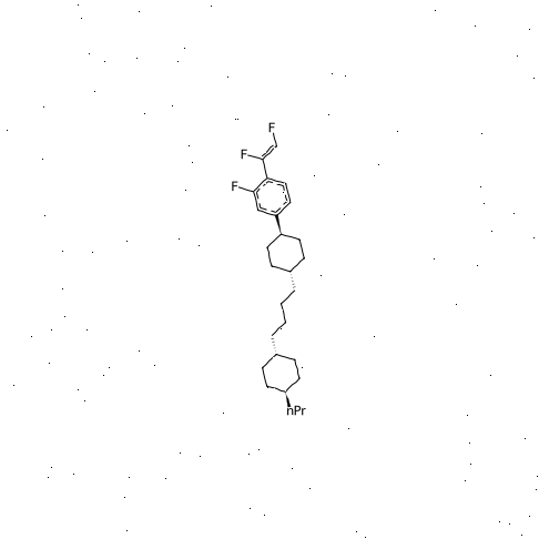 CCC[C@H]1CC[C@H](CCCC[C@H]2CC[C@H](c3ccc(C(F)=CF)c(F)c3)CC2)CC1